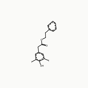 O=C(Cc1cc(I)c(O)c(I)c1)OCCc1ccccc1